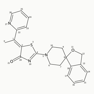 C/C(=C1/SC(N2CCC3(CC2)OCc2ccccc23)=NC1=O)c1ccccn1